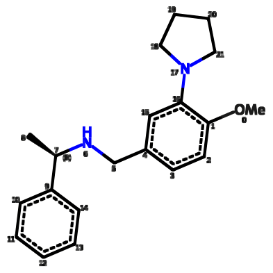 COc1ccc(CN[C@H](C)c2ccccc2)cc1N1CCCC1